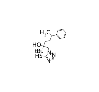 CC(CCC(O)(Cn1ncnc1S)C(C)(C)C)c1ccccc1